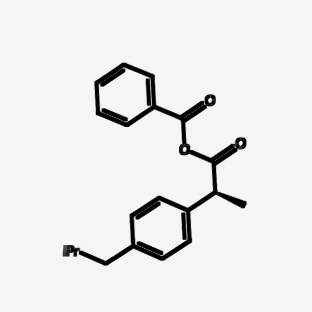 CC(C)Cc1ccc([C@H](C)C(=O)OC(=O)c2ccccc2)cc1